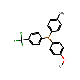 COc1ccc([S+](c2ccc(C)cc2)c2ccc(C(F)(F)F)cc2)cc1